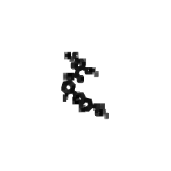 CNc1cnc2nn(-c3cc(NC(=O)c4oc(C)nc4C)ccc3F)cc2c1